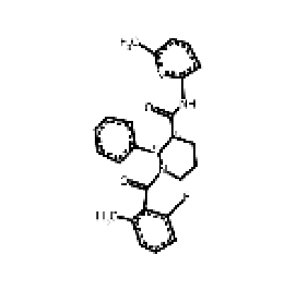 Cc1cccc(F)c1C(=O)N1CCC[C@H](C(=O)Nc2cccc(C(F)(F)F)n2)[C@@H]1c1ccccc1